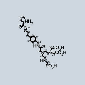 CC(C)C[C@@H](N)C(=O)NOCCc1ccc(CNC(=O)CN(CCNCC(=O)O)CCN(CC(=O)O)CC(=O)O)cc1